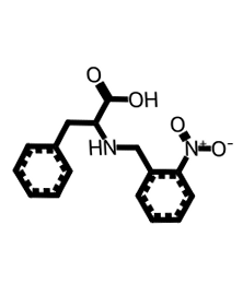 O=C(O)C(Cc1ccccc1)NCc1ccccc1[N+](=O)[O-]